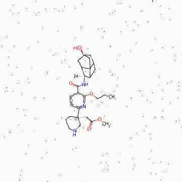 CCCOc1nc([C@]2(CC(=O)OC)CCCNC2)ccc1C(=O)N[C@H]1C2CC3CC1C[C@@](O)(C3)C2